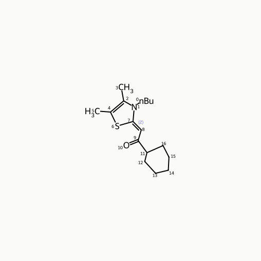 CCCCN1C(C)=C(C)S/C1=C\C(=O)C1CCCCC1